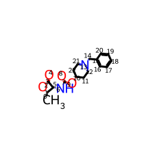 C[C@@H]1OC(=O)[C@@H]1NC(=O)OC1CCN(Cc2ccccc2)CC1